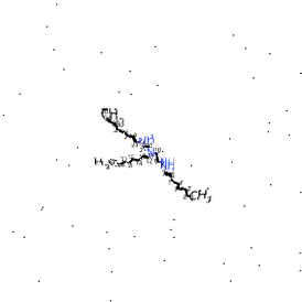 CCCCCCC=CNCCN(C=CCCCCCC)CCNC=CCCCCCC